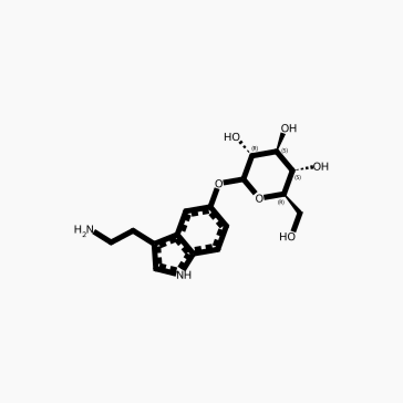 NCCc1c[nH]c2ccc(OC3O[C@H](CO)[C@@H](O)[C@H](O)[C@H]3O)cc12